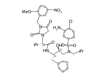 COc1ccc([N+](=O)[O-])cc1CN1C(=O)CN([C@H](C(=O)N[C@@H](Cc2ccccc2)[C@@H](O)CN(CC(C)C)S(=O)(=O)c2ccc(Cl)c(N)c2)C(C)C)C1=O